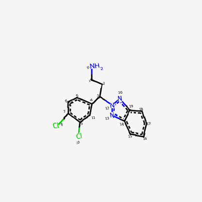 NCCC(c1ccc(Cl)c(Cl)c1)n1nc2ccccc2n1